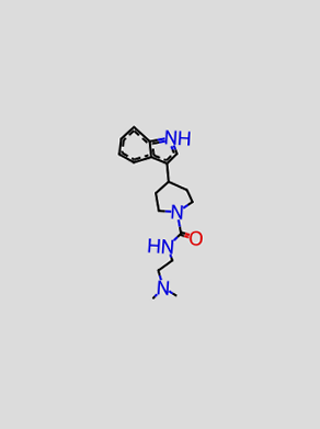 CN(C)CCNC(=O)N1CCC(c2c[nH]c3ccccc23)CC1